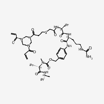 C=CC(=O)N1CN(C(=O)C=C)CN(C(=O)CCSCC(=O)N[C@H](C(=O)N[C@@H](CCCNC(N)=O)C(=O)Nc2ccc(COC(=O)N(C)[C@H](C(=O)N[C@H](C)C(C)C)C(C)C)cc2)C(C)C)C1